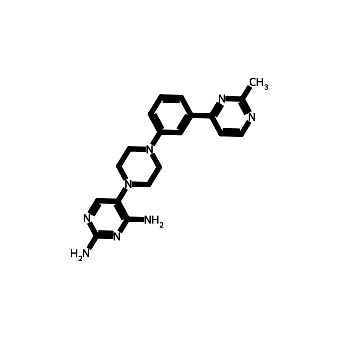 Cc1nccc(-c2cccc(N3CCN(c4cnc(N)nc4N)CC3)c2)n1